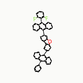 Fc1cccc(F)c1-c1c2ccccc2c(-c2ccc3c(c2)oc2ccc(-c4c5ccccc5c(-c5ccccc5)c5ccccc45)cc23)c2ccccc12